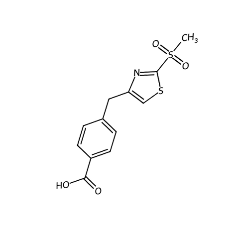 CS(=O)(=O)c1nc(Cc2ccc(C(=O)O)cc2)cs1